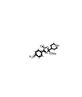 COC1(C2CCNCC2)N=C(c2ccc(N)cc2)N(Cl)O1